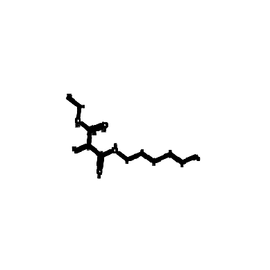 CCCCCCOC(=O)C(C)C(=O)OCC